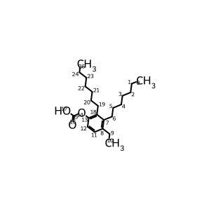 CCCCCCCc1c(CC)ccc(OC(=O)O)c1CCCCCCC